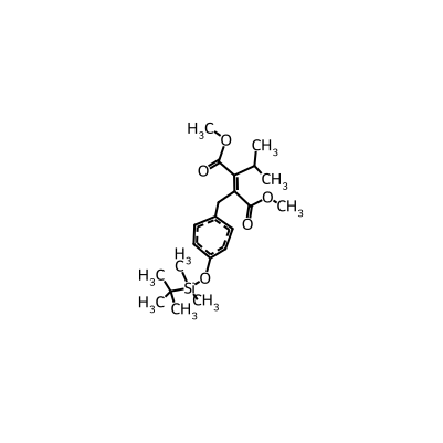 COC(=O)C(Cc1ccc(O[Si](C)(C)C(C)(C)C)cc1)=C(C(=O)OC)C(C)C